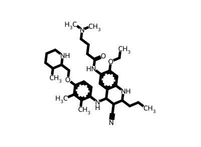 CCCC1Nc2cc(OCC)c(NC(=O)CCCN(C)C)cc2C(Nc2ccc(OCC3NCCCC3C)c(C)c2C)C1C#N